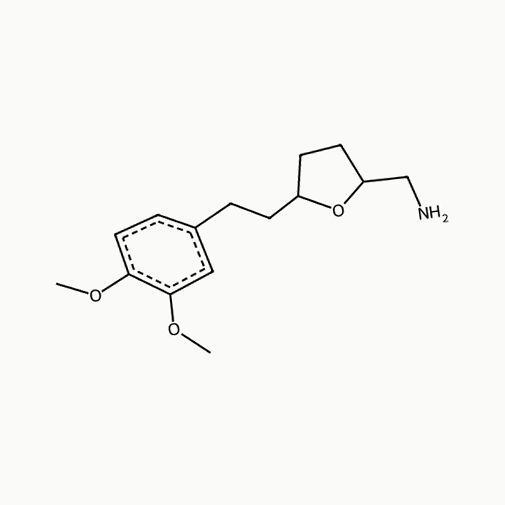 COc1ccc(CCC2CCC(CN)O2)cc1OC